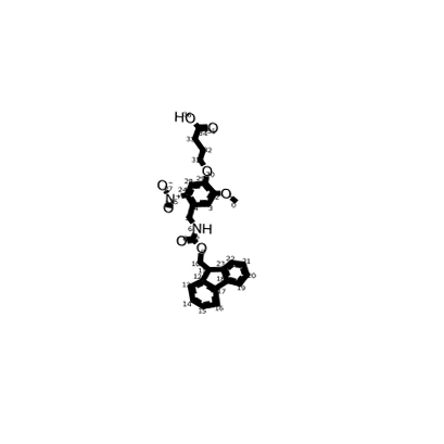 COc1cc(CNC(=O)OCC2c3ccccc3-c3ccccc32)c([N+](=O)[O-])cc1OCCCC(=O)O